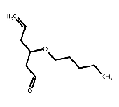 C=CCC(CC=O)OCCCCC